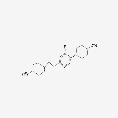 CCCC1CCC(CCc2ccc(C3CCC(C#N)CC3)c(F)c2)CC1